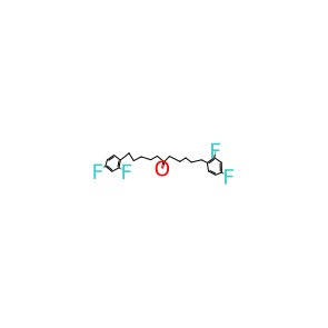 O=C(CCCCCc1ccc(F)cc1F)CCCCCc1ccc(F)cc1F